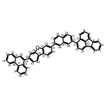 c1ccc2c(c1)-c1cccc3c(-c4ccc5ccc(-c6ccc7c(c6)oc6cc(-c8cc9ccccc9c9ccccc89)ccc67)cc5c4)ccc-2c13